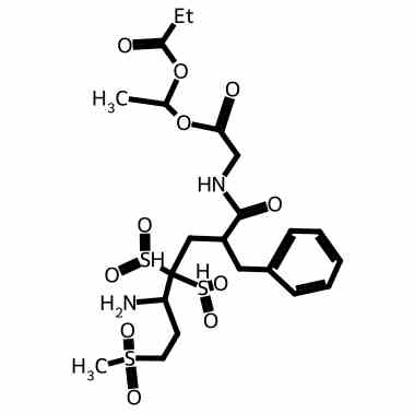 CCC(=O)OC(C)OC(=O)CNC(=O)C(Cc1ccccc1)CC(C(N)CCS(C)(=O)=O)([SH](=O)=O)[SH](=O)=O